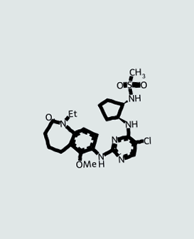 CCN1C(=O)CCCc2c1ccc(Nc1ncc(Cl)c(N[C@H]3CCC[C@@H]3NS(C)(=O)=O)n1)c2OC